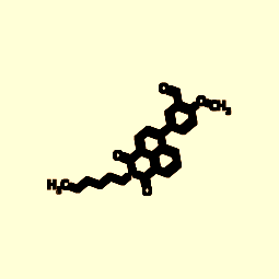 CCCCCCN1C(=O)c2cccc3c(-c4ccc(OC)c(C=O)c4)ccc(c23)C1=O